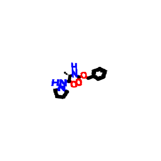 C[C@H](NC(=O)OCc1ccccc1)C(=O)NN1CCCC1